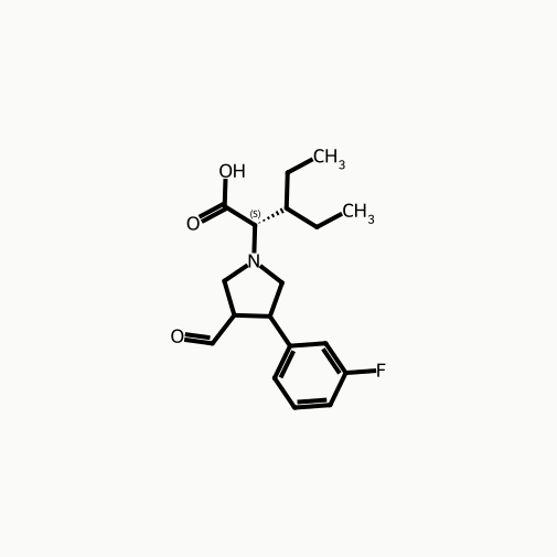 CCC(CC)[C@@H](C(=O)O)N1CC(C=O)C(c2cccc(F)c2)C1